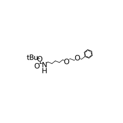 CC(C)(C)OC(=O)NCCCCCOCCOCc1ccccc1